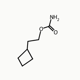 NC(=O)OCCC1CCC1